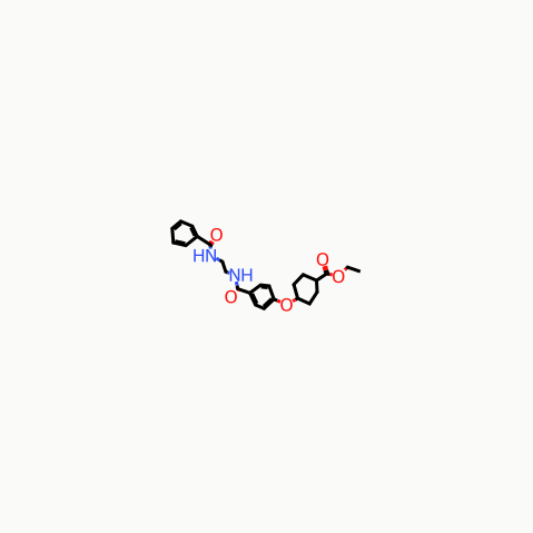 CCOC(=O)C1CCC(Oc2ccc(C(=O)NCCNC(=O)c3ccccc3)cc2)CC1